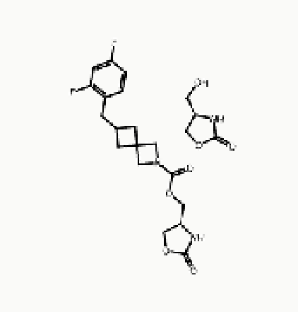 O=C1N[C@H](CO)CO1.O=C1N[C@H](COC(=O)N2CC3(CC(Cc4ccc(F)cc4F)C3)C2)CO1